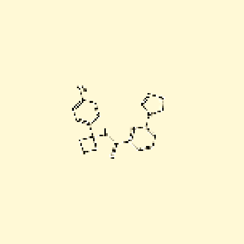 O=C(NC1(c2ccc(C(F)(F)F)cc2)COC1)c1cccc(-n2ccnc2)n1